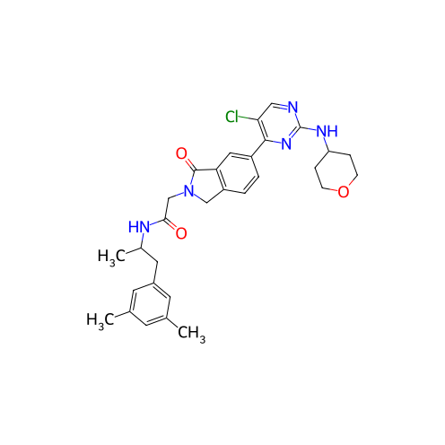 Cc1cc(C)cc(CC(C)NC(=O)CN2Cc3ccc(-c4nc(NC5CCOCC5)ncc4Cl)cc3C2=O)c1